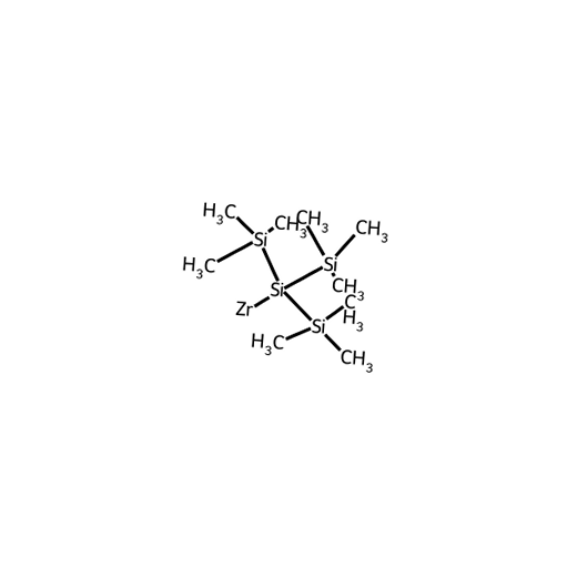 C[Si](C)(C)[Si]([Zr])([Si](C)(C)C)[Si](C)(C)C